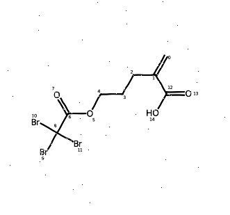 C=C(CCCOC(=O)C(Br)(Br)Br)C(=O)O